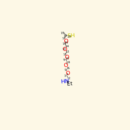 CCNCCOCCOCCOCCOCCOCC(C)S